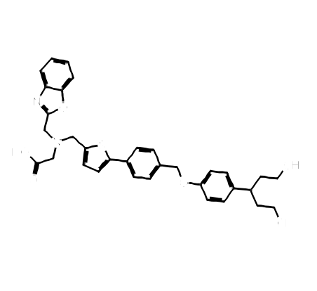 CCCC(CCC)c1ccc(OCc2ccc(-c3ccc(CN(CC(=O)O)Cc4nc5ccccc5o4)s3)cc2)cc1